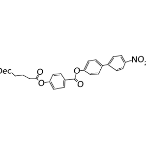 CCCCCCCCCCCCCC(=O)Oc1ccc(C(=O)Oc2ccc(-c3ccc([N+](=O)[O-])cc3)cc2)cc1